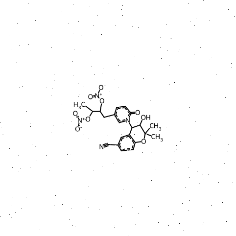 CC(O[N+](=O)[O-])C(Cc1ccc(=O)n(C2c3cc(C#N)ccc3OC(C)(C)C2O)c1)O[N+](=O)[O-]